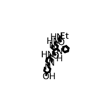 CCNC(=O)Nc1cc(Nc2ccccc2)c(C(=O)Nc2ccc(N3CCC(O)CC3)nc2)cn1